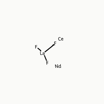 [Ce].[F][La]([F])[F].[Nd]